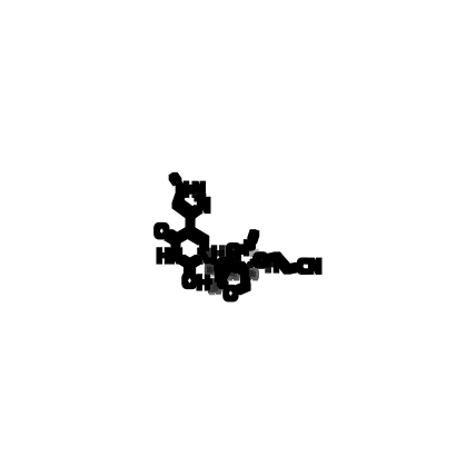 [2H]C[C@@]12CO[C@@H]([C@H](n3cc(-c4cn(C)nn4)c(=O)[nH]c3=O)O1)[C@@H]2OP(C)OCCC#N